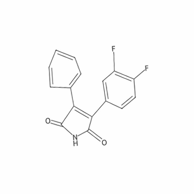 O=C1NC(=O)C(c2ccc(F)c(F)c2)=C1c1ccccc1